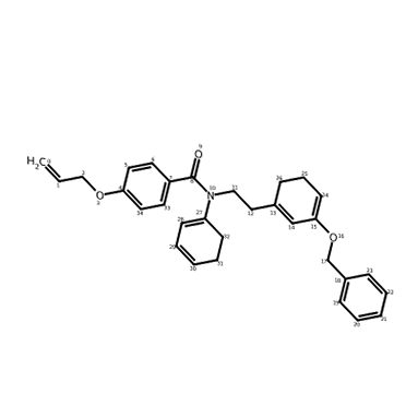 C=CCOc1ccc(C(=O)N(CCC2=CC(OCc3ccccc3)=CCC2)C2=CC=CCC2)cc1